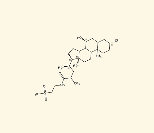 CC(C[C@@H](C)[C@H]1CCC2C3C(CC[C@@]21C)C1(C)CC[C@@H](O)CC1C[C@@H]3O)C(=O)NCCS(=O)(=O)O